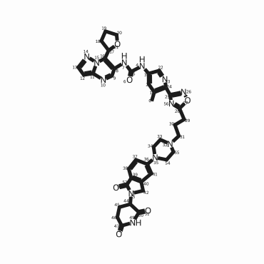 Cc1cc(NC(=O)Nc2cnc3ccnn3c2C2CCCO2)cnc1-c1noc(CCCN2CCN(c3ccc4c(c3)CN(C3CCC(=O)NC3=O)C4=O)CC2)n1